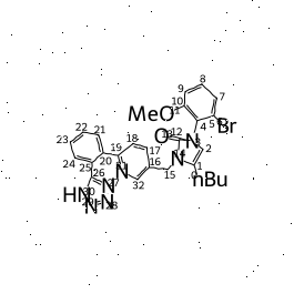 CCCCc1cn(-c2c(Br)cccc2OC)c(=O)n1Cc1ccc(-c2ccccc2-c2nnn[nH]2)nc1